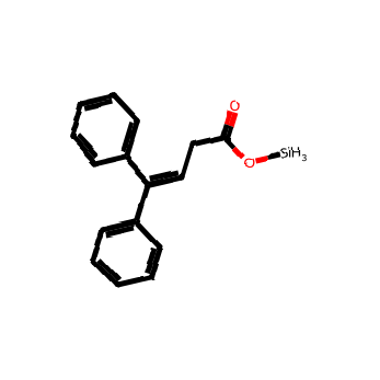 O=C(CC=C(c1ccccc1)c1ccccc1)O[SiH3]